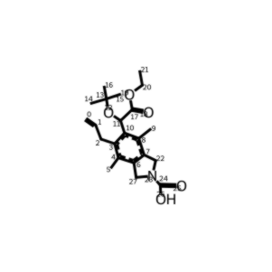 C=CCc1c(C)c2c(c(C)c1C(OC(C)(C)C)C(=O)OCC)CN(C(=O)O)C2